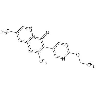 Cc1cnn2c(=O)c(-c3cnc(OCC(F)(F)F)nc3)c(C(F)(F)F)nc2c1